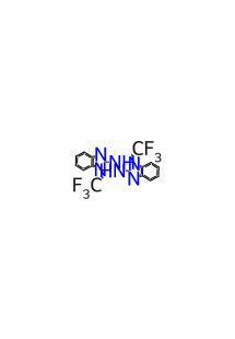 FC(F)(F)Cn1c(NNc2nc3ccccc3n2CC(F)(F)F)nc2ccccc21